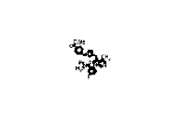 COC(=O)[C@H]1CC[C@@H](CN2CC[C@@H](Cc3cn(-c4ccc(F)cc4C(=O)N(C)C(C)C)c4cncc(C)c34)C2)CC1